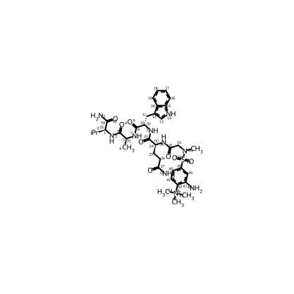 CC(C)[C@H](NC(=O)[C@H](C)NC(=O)[C@H](Cc1c[nH]c2ccccc12)NC(=O)[C@H](CCC(N)=O)NC(=O)CN(C)S(=O)(=O)c1ccc([N+](C)(C)C)c(N)c1)C(N)=O